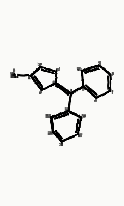 CCC(C)C1=CC(=C(c2ccccc2)c2ccccc2)[C]=C1